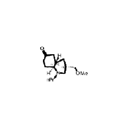 CCCN1C[C@@H](COC)C[C@H]2CC(=O)CC[C@@H]21